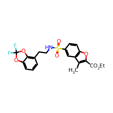 CCOC(=O)c1oc2ccc(S(=O)(=O)NCCc3cccc4c3OC(F)(F)O4)cc2c1C